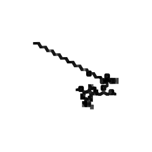 CCCCCCCCCCCCCCCCOCCCOP(=O)(O)COC(COC)Cn1cnc2c(OC)nc(N)nc21